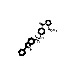 COC[C@H]1CCCN1C(=O)[C@H]1CC[C@H](NS(=O)(=O)c2ccc3cc(-c4ccccc4)n(C)c3c2)CC1